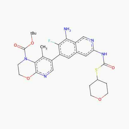 Cc1c(-c2cc3cc(NC(=O)SC4CCOCC4)ncc3c(N)c2F)cnc2c1N(C(=O)OC(C)(C)C)CCO2